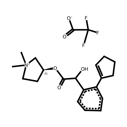 C[N+]1(C)CC[C@H](OC(=O)C(O)c2ccccc2C2=CCCC2)C1.O=C([O-])C(F)(F)F